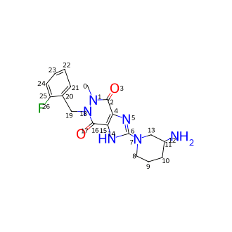 Cn1c(=O)c2nc(N3CCCC(N)C3)[nH]c2c(=O)n1Cc1ccccc1F